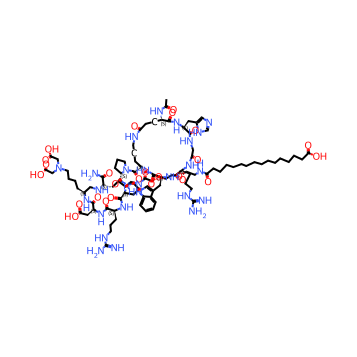 CC(=O)N[C@H]1CCC(=O)NCCC[C@@H](C(=O)N2CCC[C@H]2C(=O)N2CCC[C@H]2C(=O)N[C@@H](CCCNC(=N)N)C(=O)N[C@@H](CC(=O)O)C(=O)N[C@@H](CCCCN(CC(=O)O)CC(=O)O)CN[C@@H](CCCCNC(=O)COCCOCCNC(=O)CCCCCCCCCCCCCCC(=O)O)C(N)=O)NC(=O)[C@H](Cc2c[nH]c3ccccc23)NC(=O)[C@H](CCCNC(=N)N)NC(=O)CNC(=O)[C@H](Cc2cnc[nH]2)NC1=O